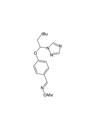 CON=Cc1ccc(OC(CC(C)(C)C)n2cncn2)cc1